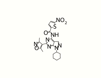 Cc1noc(C)c1-c1nc(NC(=O)c2ccc([N+](=O)[O-])s2)c2cnn(C3CCCCC3)c2n1